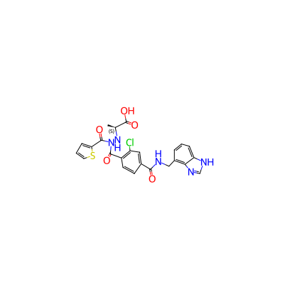 C[C@H](NN(C(=O)c1cccs1)C(=O)c1ccc(C(=O)NCc2cccc3[nH]cnc23)cc1Cl)C(=O)O